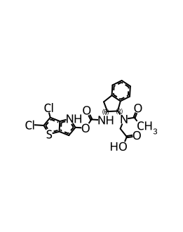 CC(=O)N(CC(=O)O)[C@@H]1c2ccccc2C[C@H]1NC(=O)Oc1cc2sc(Cl)c(Cl)c2[nH]1